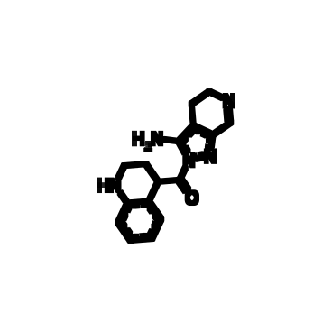 Nc1c2c(nn1C(=O)C1CCNc3ccccc31)C=NCC2